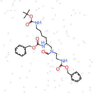 CC(C)(C)OC(=O)NCCCCC(CN(C=O)CCNC(=O)OCc1ccccc1)NC(=O)OCc1ccccc1